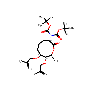 C=C(C)CO[C@H]1[C@H](C)OC(=O)[C@@H](N(C(=O)OC(C)(C)C)C(=O)OC(C)(C)C)CCC[C@@H]1OCC(=C)C